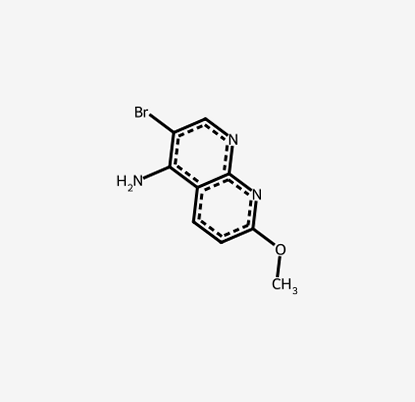 COc1ccc2c(N)c(Br)cnc2n1